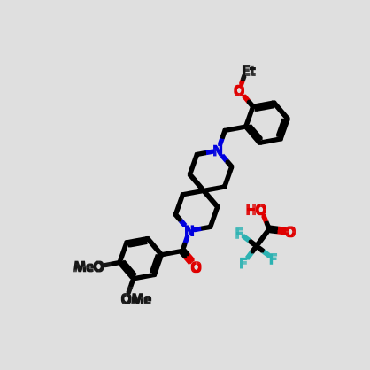 CCOc1ccccc1CN1CCC2(CC1)CCN(C(=O)c1ccc(OC)c(OC)c1)CC2.O=C(O)C(F)(F)F